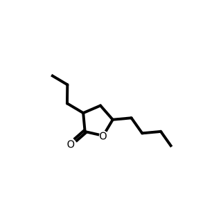 CCCCC1CC(CCC)C(=O)O1